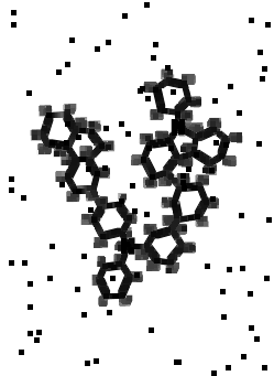 c1ccc(N(c2ccc(-c3ccc4c(ccc5ccccc54)c3)cc2)c2cccc(-c3cccc(-c4cccc5c4c4ccccc4n5-c4ccccc4)c3)c2)cc1